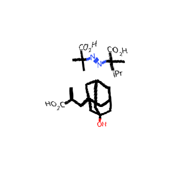 C=C(CC12CC3CC(CC(O)(C3)C1)C2)C(=O)O.CC(C)C(C)(N=NC(C)(C)C(=O)O)C(=O)O